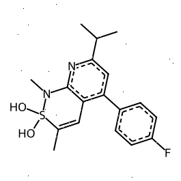 CC1=Cc2c(-c3ccc(F)cc3)cc(C(C)C)nc2N(C)S1(O)O